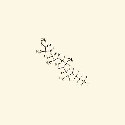 COC(=O)C(C)(F)C(=O)C(F)(F)C(C)(F)C(=O)C(F)(F)C(C)(F)C(=O)C(F)(F)C(C)(F)C(=O)C(F)(F)C(F)(F)C(F)(F)F